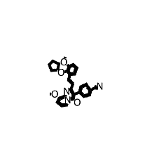 COc1cccc(/C=C/c2nc3c(OC)cccn3c(=O)c2-c2ccc(C#N)cc2)c1OC1CCCC1